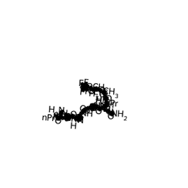 CCCN(CCC)C(=O)C1=Cc2ccc(C(=O)Nc3cncc(CNC(=O)OCc4ccc(NC(=O)[C@H](CCCNC(N)=O)NC(=O)[C@@H](NC(=O)CCC(C)(C)OCCC(C)(CC)C5OC5Oc5c(F)c(F)cc(F)c5F)C(C)C)cc4)c3)cc2N=C(N)C1